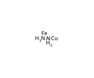 N.[AlH3].[Cu].[Fe]